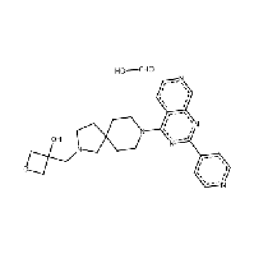 O=CO.OC1(CN2CCC3(CCN(c4nc(-c5ccncc5)nc5cnccc45)CC3)C2)COC1